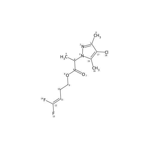 Cc1nn(C(C)C(=O)OCCC=C(F)F)c(C)c1Cl